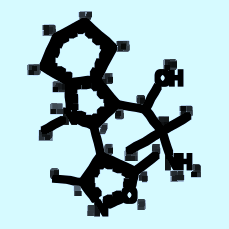 Cc1noc(C)c1-c1c(C(O)C(C)(C)N)c2ccccc2n1C